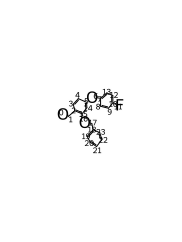 O=Cc1ccc(Oc2ccc(F)cc2)cc1OCc1ccccc1